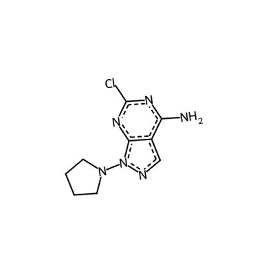 Nc1nc(Cl)nc2c1cnn2N1CCCC1